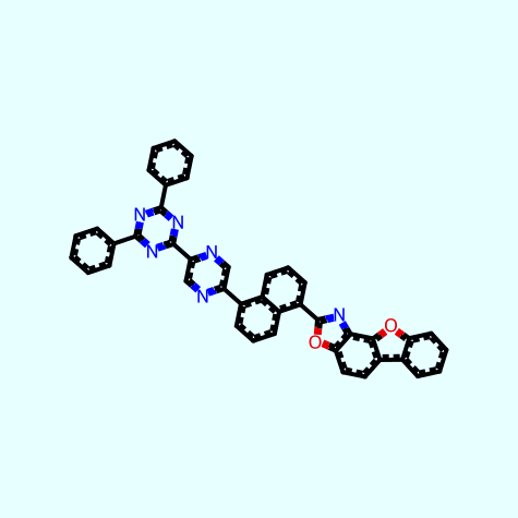 c1ccc(-c2nc(-c3ccccc3)nc(-c3cnc(-c4cccc5c(-c6nc7c(ccc8c9ccccc9oc87)o6)cccc45)cn3)n2)cc1